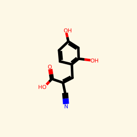 N#CC(=Cc1ccc(O)cc1O)C(=O)O